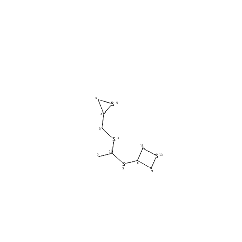 CC(SCC1CS1)SC1CSC1